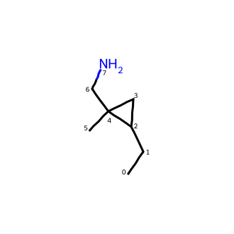 CCC1CC1(C)CN